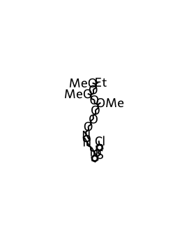 CCC(COCC(COCC(COCCOCCOCCN1CCN(CCCN2c3ccccc3Sc3ccc(Cl)cc32)CC1)OC)OC)OC